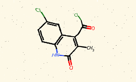 Cc1c(C(=O)Cl)c2cc(Cl)ccc2[nH]c1=O